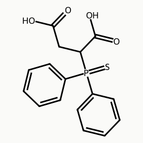 O=C(O)CC(C(=O)O)P(=S)(c1ccccc1)c1ccccc1